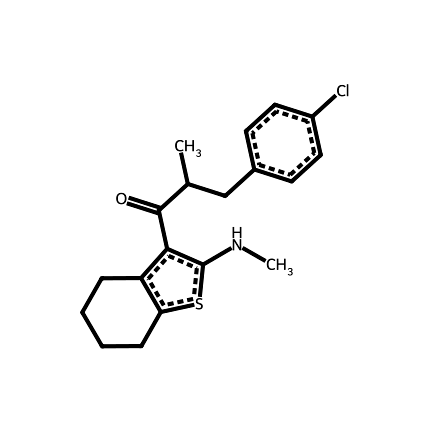 CNc1sc2c(c1C(=O)C(C)Cc1ccc(Cl)cc1)CCCC2